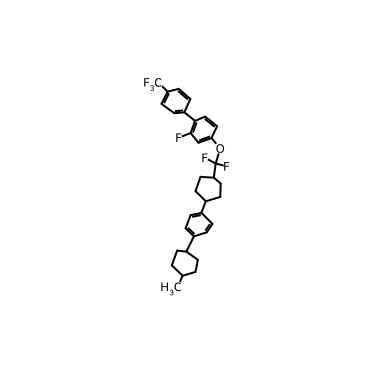 CC1CCC(c2ccc(C3CCC(C(F)(F)Oc4ccc(-c5ccc(C(F)(F)F)cc5)c(F)c4)CC3)cc2)CC1